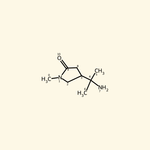 CN1CC(C(C)(C)N)CC1=O